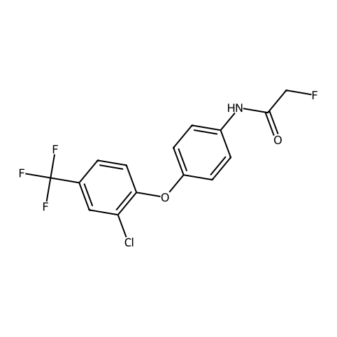 O=C(CF)Nc1ccc(Oc2ccc(C(F)(F)F)cc2Cl)cc1